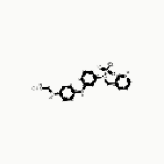 CCS(=O)(=O)N(Cc1cccnc1)c1cccc(Oc2ccc(OCC=O)cc2)c1